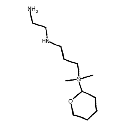 C[Si](C)(CCCNCCN)C1CCCCO1